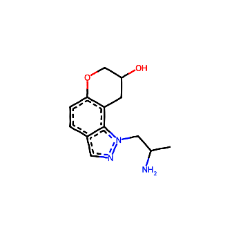 CC(N)Cn1ncc2ccc3c(c21)CC(O)CO3